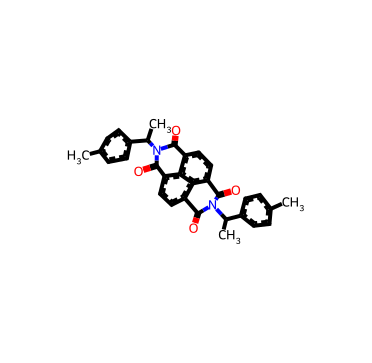 Cc1ccc(C(C)N2C(=O)c3ccc4c5c(ccc(c35)C2=O)C(=O)N(C(C)c2ccc(C)cc2)C4=O)cc1